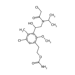 COc1c(CCOC(N)=O)cc(Cl)c(C)c1C(O)CN(C(=O)CCl)C(C)C